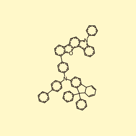 C1=CC2c3ccc(N(c4ccc(-c5ccccc5)cc4)c4ccc(-c5cccc6c5oc5c6ccc6c5c5ccccc5n6-c5ccccc5)cc4)cc3C(c3ccccc3)(c3ccccc3)C2C=C1